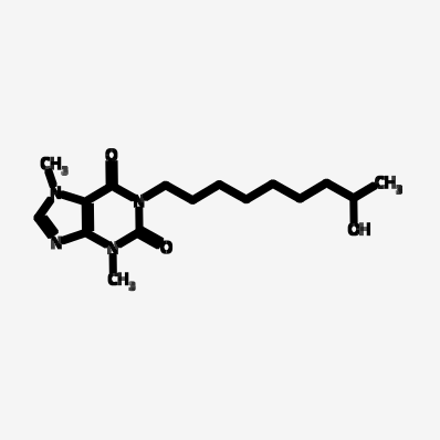 CC(O)CCCCCCCn1c(=O)c2c(ncn2C)n(C)c1=O